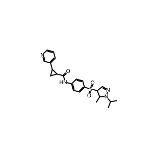 CC(C)N1N=CC(S(=O)(=O)c2ccc(NC(=O)C3CC3c3cccnc3)cc2)C1C